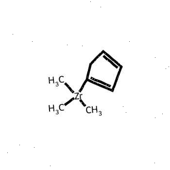 [CH3][Zr]([CH3])([CH3])[C]1=CC=CC1